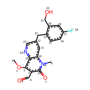 COc1c(C=O)c(=O)n(C)c2cc(Cc3ccc(F)cc3CO)cnc12